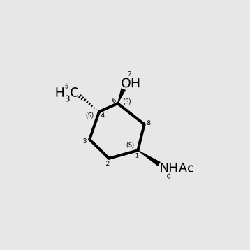 CC(=O)N[C@H]1CC[C@H](C)[C@@H](O)C1